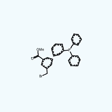 COC(=O)c1cccc(CBr)c1.c1ccc(P(c2ccccc2)c2ccccc2)cc1